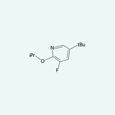 CC(C)Oc1ncc(C(C)(C)C)cc1F